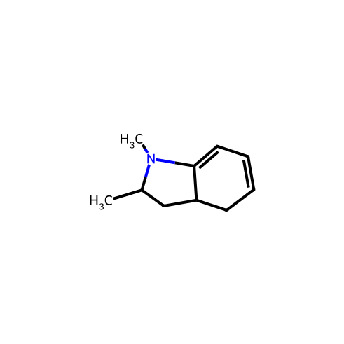 CC1CC2CC=CC=C2N1C